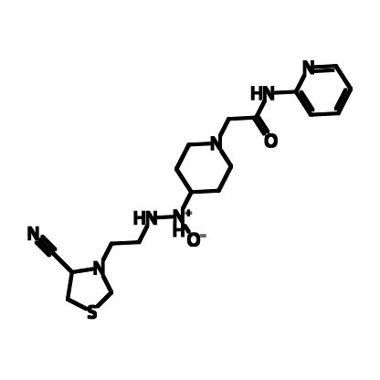 N#CC1CSCN1CCN[NH+]([O-])C1CCN(CC(=O)Nc2ccccn2)CC1